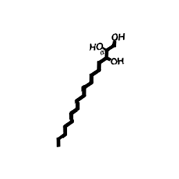 CCCCCCCCCCCCCCC(O)[C@@H](O)CO